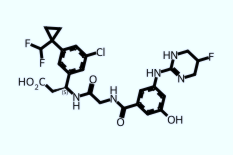 O=C(O)C[C@H](NC(=O)CNC(=O)c1cc(O)cc(NC2=NCC(F)CN2)c1)c1cc(Cl)cc(C2(C(F)F)CC2)c1